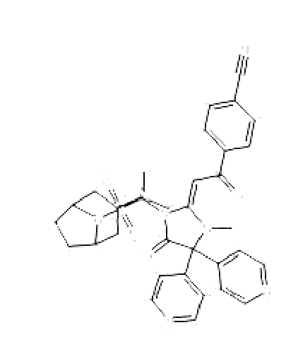 CN1C(=CC(=O)c2ccc(C#N)cc2)N(CC2CC3CCC(C2)N3S(=O)(=O)N(C)C)C(=O)C1(c1ccncc1)c1ccncc1